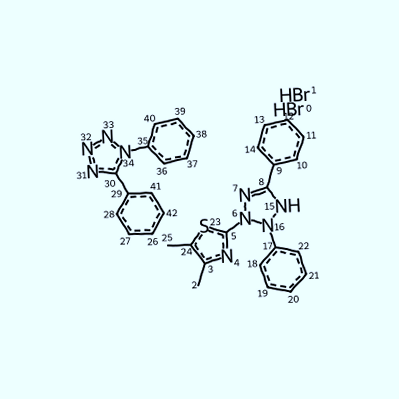 Br.Br.Cc1nc(N2N=C(c3ccccc3)NN2c2ccccc2)sc1C.c1ccc(-c2nnnn2-c2ccccc2)cc1